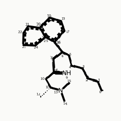 CCCCCCC(CC(=N)C[C@@H](C)N(C)C)c1cccc2ccccc12